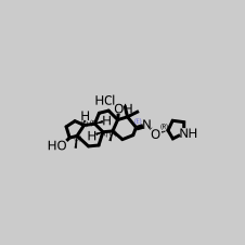 CC1(C)/C(=N/O[C@@H]2CCNC2)CC[C@]2(C)[C@@H]3CC[C@]4(C)C(O)CC[C@H]4[C@@H]3CCC12O.Cl